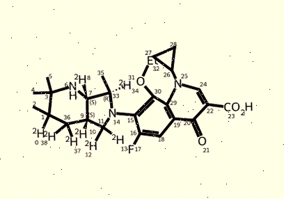 [2H]C1(C)C(C)(C)N[C@@]2([2H])[C@]([2H])(C([2H])([2H])N(c3c(F)cc4c(=O)c(C(=O)O)cn(C5CC5)c4c3OCC)[C@]2([2H])C)C1([2H])[2H]